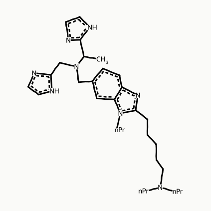 CCCN(CCC)CCCCCc1nc2ccc(CN(Cc3ncc[nH]3)C(C)c3ncc[nH]3)cc2n1CCC